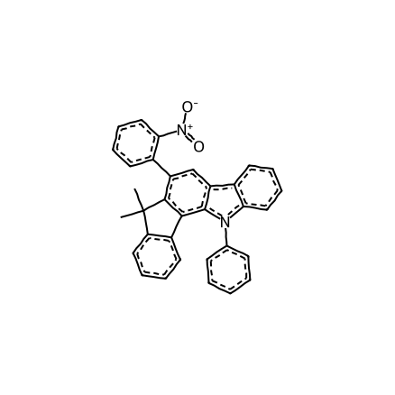 CC1(C)c2ccccc2-c2c1c(-c1ccccc1[N+](=O)[O-])cc1c3ccccc3n(-c3ccccc3)c21